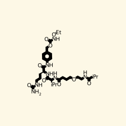 CCONC(=O)OCc1ccc(NC(=O)[C@H](CCCNC(N)=O)NC(=O)[C@@H](NC(=O)CCCOCCNC(=O)C(C)C)C(C)C)cc1